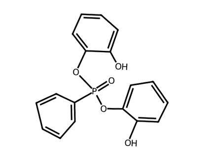 O=P(Oc1ccccc1O)(Oc1ccccc1O)c1ccccc1